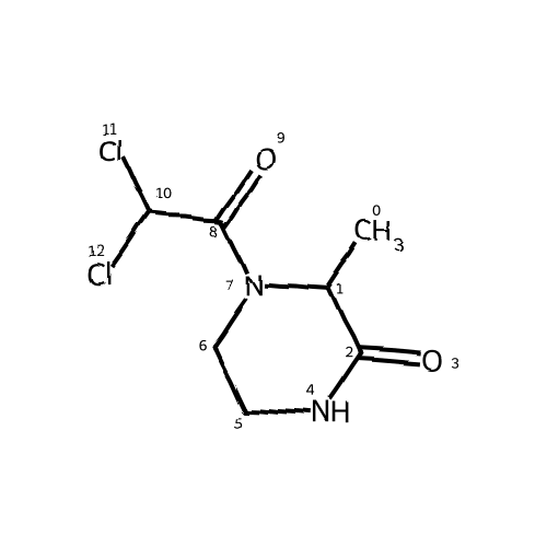 CC1C(=O)NCCN1C(=O)C(Cl)Cl